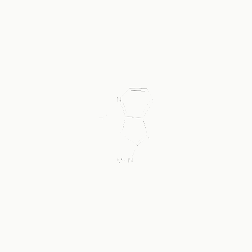 CNc1nc2cccnc2s1.Cl